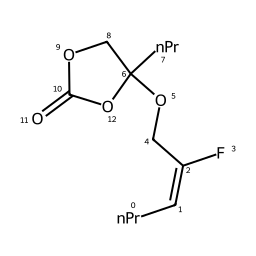 CCC/C=C(/F)COC1(CCC)COC(=O)O1